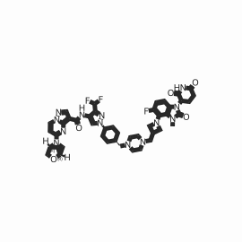 Cn1c(=O)n(C2CCC(=O)NC2=O)c2ccc(F)c(N3CC(CN4CCN(C[C@H]5CC[C@H](n6cc(NC(=O)c7cnn8ccc(N9C[C@H]%10C[C@@H]9CO%10)nc78)c(C(F)F)n6)CC5)CC4)C3)c21